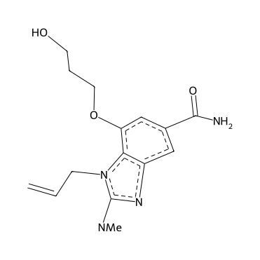 C=CCn1c(NC)nc2cc(C(N)=O)cc(OCCCO)c21